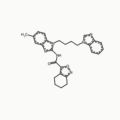 Cc1ccc2c(c1)nc(NC(=O)c1onc3c1CCCC3)n2CCCCn1cnc2ccccc21